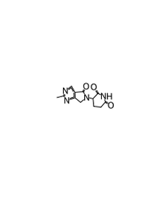 Cc1ncc2c(n1)CN(C1CCC(=O)NC1=O)C2=O